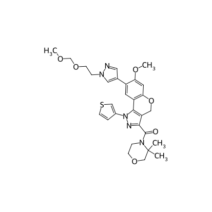 COCOCCn1cc(-c2cc3c(cc2OC)OCc2c(C(=O)N4CCOCC4(C)C)nn(-c4ccsc4)c2-3)cn1